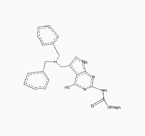 CCCCCCCC(=O)Nc1nc(S)c2c(CN(Cc3ccccc3)Cc3ccccc3)c[nH]c2n1